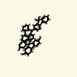 Cc1ccc2c(c1)C1(c3ccc(N(c4ccc5c(c4)C(C)(C)c4ccccc4-5)c4ccccc4-c4ccccc4)cc3-2)c2cc(C)ccc2-c2ccc(C)cc21